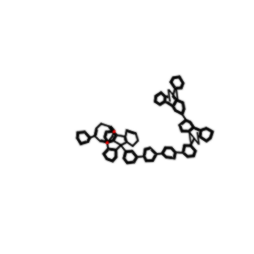 C1#CC/C(c2ccccc2C2(c3cccc(-c4ccc(-c5ccc(-c6cccc(-n7c8ccccc8c8cc(-c9ccc%10c(c9)c9ccccc9n%10-c9ccccc9)ccc87)c6)cc5)cc4)c3)C3=C(C=CCC3)c3ccccc32)=C\C(c2ccccc2)=C/C1